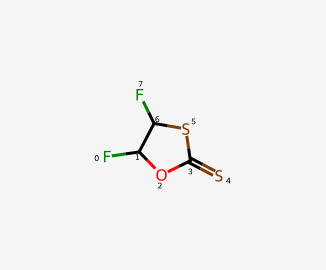 FC1OC(=S)SC1F